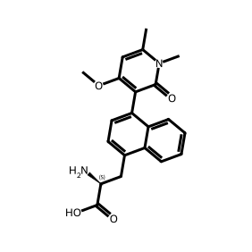 COc1cc(C)n(C)c(=O)c1-c1ccc(C[C@H](N)C(=O)O)c2ccccc12